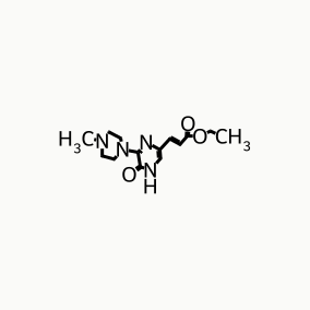 CCOC(=O)/C=C/c1c[nH]c(=O)c(N2CCN(C)CC2)n1